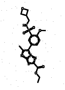 CCOC(=O)c1nn2c(-c3ccc(OC)c(S(=O)(=O)NCC4COC4)c3)c(C)nc2s1